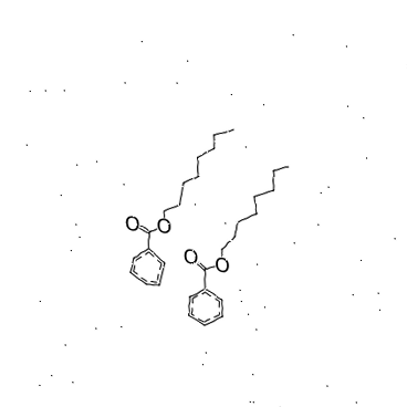 CCCCCCCCOC(=O)c1ccccc1.CCCCCCCCOC(=O)c1ccccc1